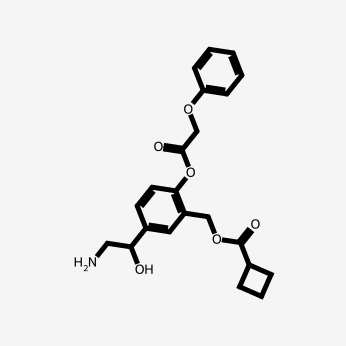 NCC(O)c1ccc(OC(=O)COc2ccccc2)c(COC(=O)C2CCC2)c1